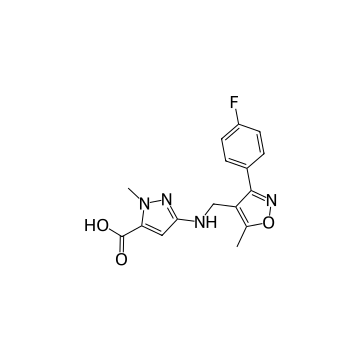 Cc1onc(-c2ccc(F)cc2)c1CNc1cc(C(=O)O)n(C)n1